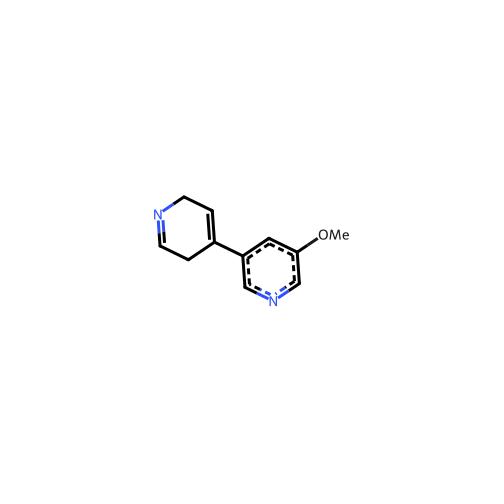 COc1cncc(C2=CCN=CC2)c1